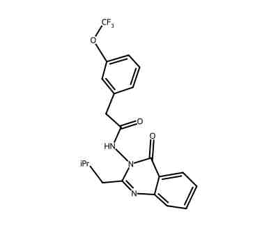 CC(C)Cc1nc2ccccc2c(=O)n1NC(=O)Cc1cccc(OC(F)(F)F)c1